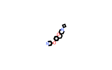 c1cc(Oc2ccc3c(c2)CCC2(CCN(C4CCC4)CC2)O3)ccn1